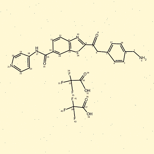 NCc1ccc(CC(=O)c2nc3ccc(C(=O)Nc4ccncc4)cc3s2)cc1.O=C(O)C(F)(F)F.O=C(O)C(F)(F)F